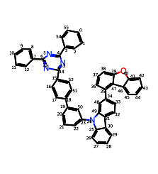 c1ccc(-c2nc(-c3ccccc3)nc(-c3ccc(-c4cccc(-n5c6ccccc6c6ccc(-c7cccc8oc9ccccc9c78)cc65)c4)cc3)n2)cc1